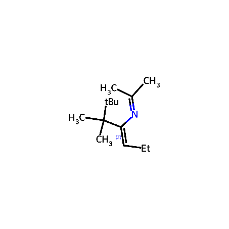 CC/C=C(\N=C(C)C)C(C)(C)C(C)(C)C